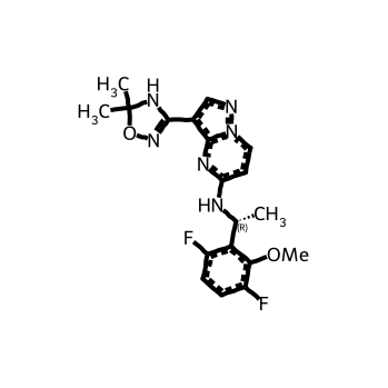 COc1c(F)ccc(F)c1[C@@H](C)Nc1ccn2ncc(C3=NOC(C)(C)N3)c2n1